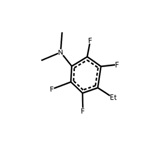 CCc1c(F)c(F)c(N(C)C)c(F)c1F